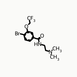 CN(C)CCNC(=O)c1ccc(Br)c(OCC(F)(F)F)c1